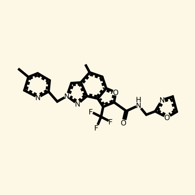 Cc1ccc(Cn2cc3c(C)cc4oc(C(=O)NCc5ncco5)c(C(F)(F)F)c4c3n2)nc1